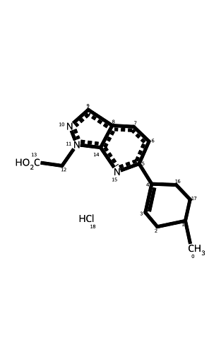 CC1CC=C(c2ccc3cnn(CC(=O)O)c3n2)CC1.Cl